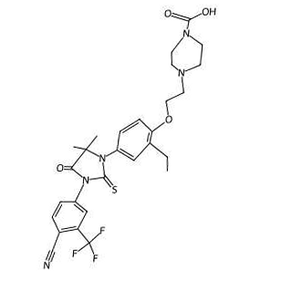 CCc1cc(N2C(=S)N(c3ccc(C#N)c(C(F)(F)F)c3)C(=O)C2(C)C)ccc1OCCN1CCN(C(=O)O)CC1